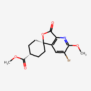 COc1nc2c(cc1Br)[C@]1(CC[C@@H](C(=O)OC)CC1)OC2=O